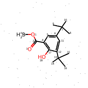 BOC(=O)c1cc(C(C)(C)C)cc(C(C)(C)C)c1O